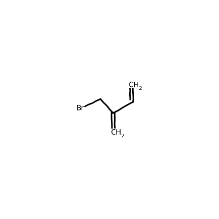 C=CC(=C)CBr